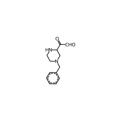 O=CC(=O)C1CN(Cc2ccccc2)CCN1